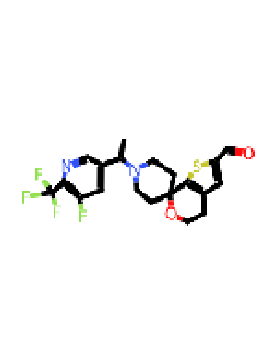 CC(c1cnc(C(F)(F)F)c(F)c1)N1CCC2(CC1)OCCc1cc(C=O)sc12